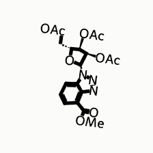 COC(=O)c1cccc2c1nnn2[C@@H]1O[C@H](COC(C)=O)[C@@H](OC(C)=O)[C@H]1OC(C)=O